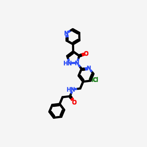 Cl.O=C(Cc1ccccc1)NCc1ccnc(-n2[nH]cc(-c3cccnc3)c2=O)c1